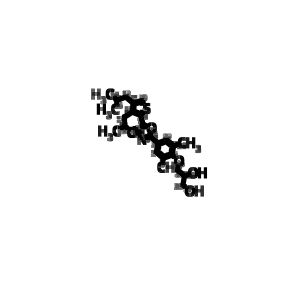 Cc1cc(-c2nnc(-c3scc(CC(C)C)c3CC(C)C)o2)cc(C)c1OCC(O)CO